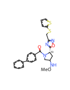 CONC1C[C@@H](c2nc(CSc3cccs3)no2)N(C(=O)c2ccc(-c3ccccc3)cc2)C1